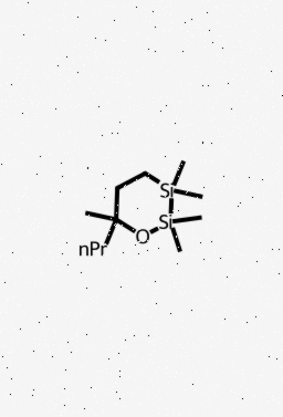 CCCC1(C)CC[Si](C)(C)[Si](C)(C)O1